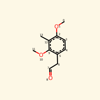 COc1ccc(CC=O)c(OC)c1C